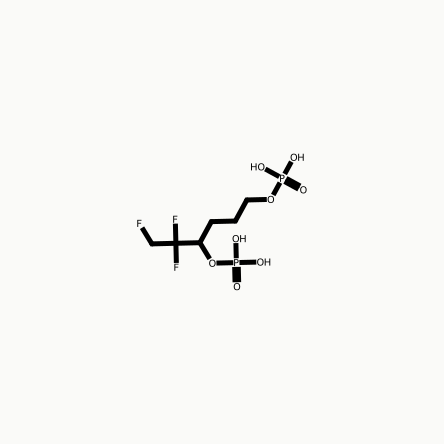 O=P(O)(O)OCCCC(OP(=O)(O)O)C(F)(F)CF